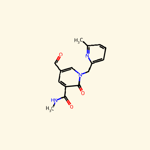 CNC(=O)c1cc(C=O)cn(Cc2cccc(C)n2)c1=O